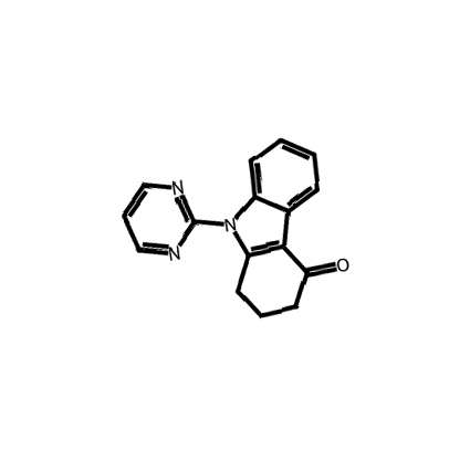 O=C1CCCc2c1c1ccccc1n2-c1ncccn1